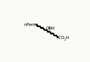 CCCCCC=CCC=CCC(C=CC=CCCCC(=O)O)OO